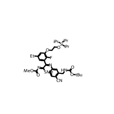 CCc1cc(OCCO[Si](C(C)C)(C(C)C)C(C)C)c(F)c(C(=Nc2ccc(C#N)c(CNC(=O)OC(C)(C)C)c2)C(=NC(=O)OC)SC)c1